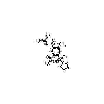 Cc1cc(S(=O)(=O)C2CCCC2)c(S(C)(=O)=O)cc1C(=O)N=C(N)N